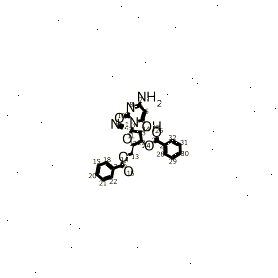 N#C[C@@]1(n2ccc(N)nc2=O)O[C@H](COC(=O)c2ccccc2)[C@@H](OC(=O)c2ccccc2)[C@@H]1O